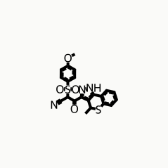 COc1ccc(S(=O)(=O)C(C#N)C(=O)c2n[nH]c3c2C(C)Sc2ccccc2-3)cc1